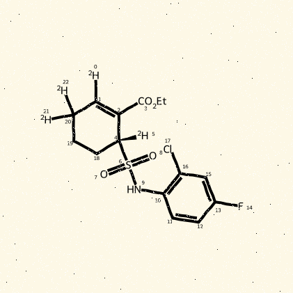 [2H]C1=C(C(=O)OCC)[C@]([2H])(S(=O)(=O)Nc2ccc(F)cc2Cl)CCC1([2H])[2H]